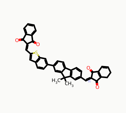 CC1(C)c2cc(/C=C3\C(=O)C4=C(CCC=C4)C3=O)ccc2-c2ccc(-c3ccc4cc(C=C5C(=O)c6ccccc6C5=O)sc4c3)cc21